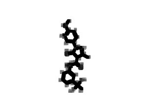 COc1ccc(N2N=C(C)C(C(=O)Nc3cccc(C(C)(F)F)c3)C2=O)cn1